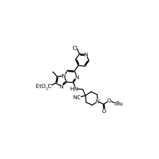 CCOC(=O)c1nc2c(NCC3(C#N)CCN(C(=O)OC(C)(C)C)CC3)nc(-c3ccnc(Cl)c3)cn2c1C